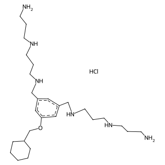 Cl.NCCCNCCCNCc1cc(CNCCCNCCCN)cc(OCC2CCCCC2)c1